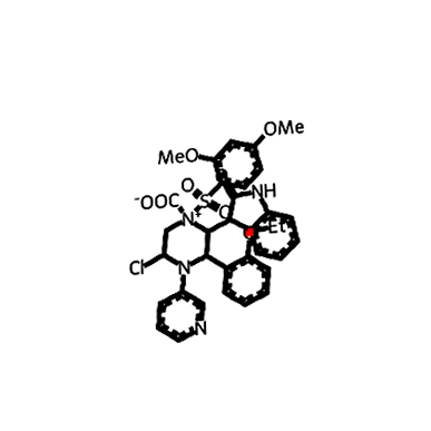 CCOc1ccccc1C1C(C2C(=O)Nc3ccccc32)[N+](C(=O)[O-])(S(=O)(=O)c2ccc(OC)cc2OC)CC(Cl)N1c1cccnc1